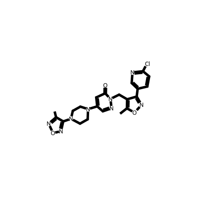 Cc1nonc1N1CCN(c2cnn(Cc3c(-c4ccc(Cl)nc4)noc3C)c(=O)c2)CC1